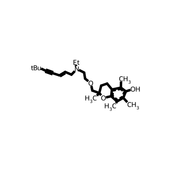 CCN(C/C=C/C#CC(C)(C)C)CCOCC1(C)CCc2c(C)c(O)c(C)c(C)c2O1